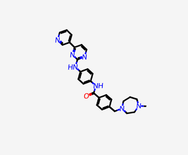 CN1CCCN(Cc2ccc(C(=O)Nc3ccc(Nc4nccc(-c5cccnc5)n4)cc3)cc2)CC1